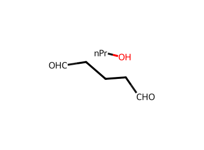 CCCO.O=CCCCC=O